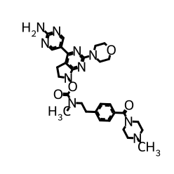 CN1CCN(C(=O)c2ccc(CCN(C)C(=O)ON3CCc4c(-c5cnc(N)nc5)nc(N5CCOCC5)nc43)cc2)CC1